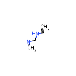 C=CNCN=C